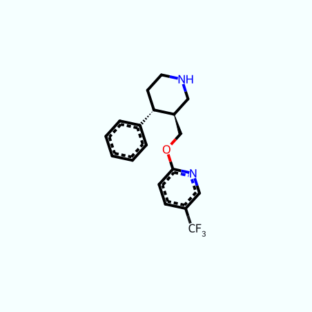 FC(F)(F)c1ccc(OC[C@@H]2CNCC[C@H]2c2ccccc2)nc1